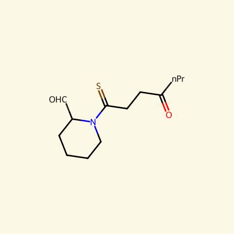 CCCC(=O)CCC(=S)N1CCCCC1C=O